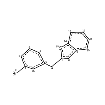 Brc1cccc(Cc2cc3ccccc3s2)c1